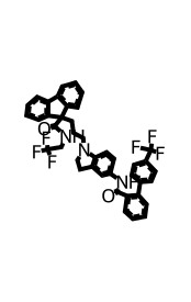 O=C(Nc1ccc2c(c1)CCN2CCCC1(C(=O)NCC(F)(F)F)c2ccccc2-c2ccccc21)c1ccccc1-c1ccc(C(F)(F)F)cc1